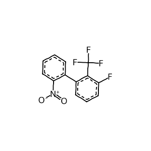 O=[N+]([O-])c1ccccc1-c1cccc(F)c1C(F)(F)F